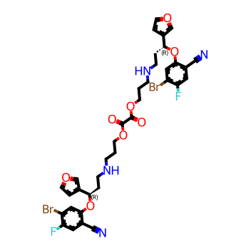 N#Cc1cc(F)c(Br)cc1O[C@H](CCNCCCOC(=O)C(=O)OCCCNCC[C@@H](Oc1cc(Br)c(F)cc1C#N)c1ccoc1)c1ccoc1